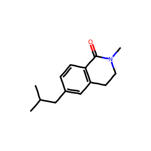 CC(C)Cc1ccc2c(c1)CCN(C)C2=O